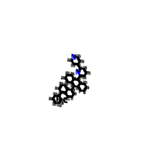 Cc1ccc(-c2c3ccccc3c(-c3cccc(-c4ccncc4)n3)c3ccccc23)c2cccc(-c3ccccc3)c12